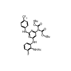 CC(=O)Nc1c(F)cccc1Nc1cc(N(C(=O)OC(C)(C)C)C(=O)OC(C)(C)C)nc(Nc2ccc(C(F)(F)F)cc2)n1